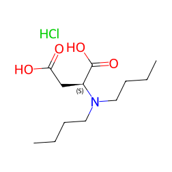 CCCCN(CCCC)[C@@H](CC(=O)O)C(=O)O.Cl